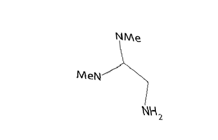 CNC(CN)NC